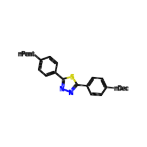 CCCCCCCCCCc1ccc(-c2nnc(-c3ccc(CCCCC)cc3)s2)cc1